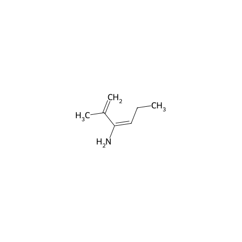 C=C(C)/C(N)=C\CC